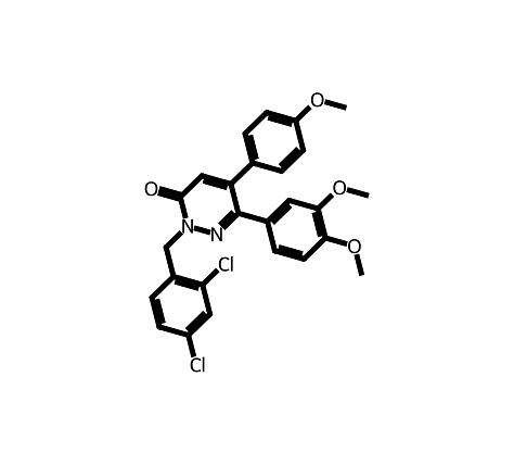 COc1ccc(-c2cc(=O)n(Cc3ccc(Cl)cc3Cl)nc2-c2ccc(OC)c(OC)c2)cc1